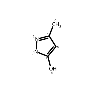 CC1=N[N]C(O)=[C]1